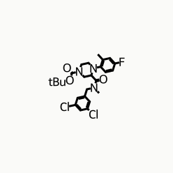 Cc1cc(F)ccc1N1CCN(C(=O)OC(C)(C)C)CC1C(=O)N(C)Cc1cc(Cl)cc(Cl)c1